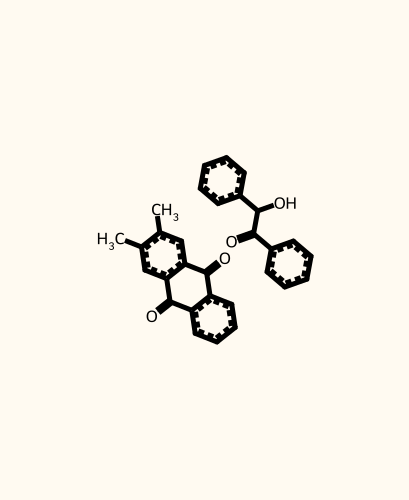 Cc1cc2c(cc1C)C(=O)c1ccccc1C2=O.O=C(c1ccccc1)C(O)c1ccccc1